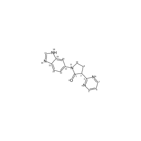 O=C1C(c2ncccn2)CCN1c1ccc2nc[nH]c2c1